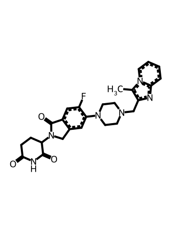 Cc1c(CN2CCN(c3cc4c(cc3F)C(=O)N(C3CCC(=O)NC3=O)C4)CC2)nc2ccccn12